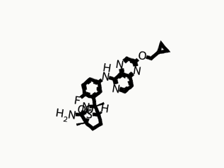 C[C@]1(c2cc(Nc3nccc4nc(OCC5CC5)cnc34)ccc2F)N=C(N)[C@@]2(C)CC[C@@H]1S2(=O)=O